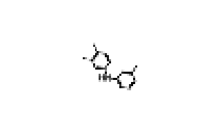 Cc1cccc(Nc2ccc(C)c(C)c2)c1